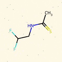 CC(=S)NCC(F)F